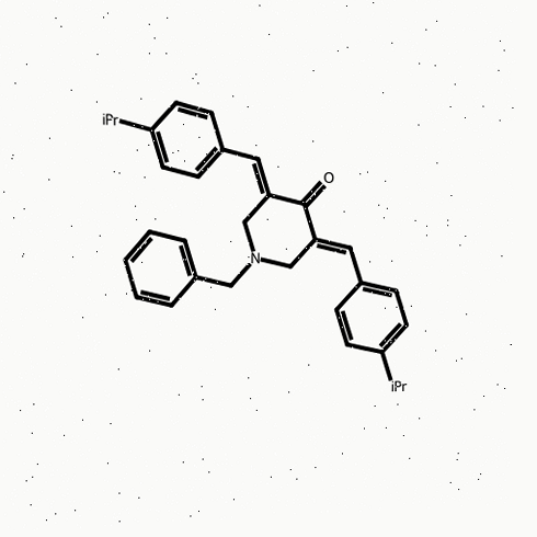 CC(C)c1ccc(/C=C2\CN(Cc3ccccc3)C/C(=C\c3ccc(C(C)C)cc3)C2=O)cc1